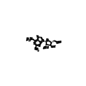 Nc1nc(N)c2ncn([C@@H]3O[C@H](CO)C(O)[C@@H]3O)c2n1